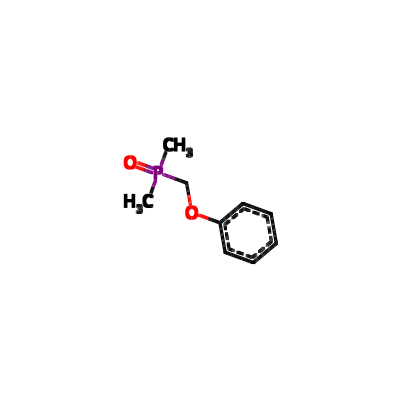 CP(C)(=O)COc1ccccc1